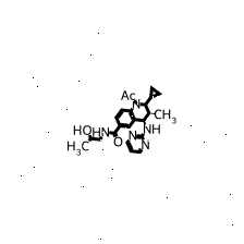 CC(=O)N1c2ccc(C(=O)NCC(C)O)cc2[C@H](Nc2ncccn2)[C@@H](C)C1C1CC1